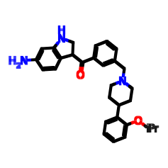 CC(C)Oc1ccccc1C1CCN(Cc2cccc(C(=O)C3CNc4cc(N)ccc43)c2)CC1